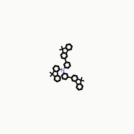 CC1(C)c2ccccc2-c2cc(-c3cccc(N(c4cccc(-c5ccc6c(c5)-c5ccccc5C6(C)C)c4)c4cccc5c4-c4ccccc4C5(C)C)c3)ccc21